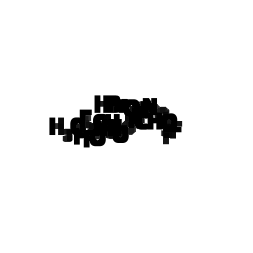 Br.Cc1c(F)cc(C(=O)N(C)c2ccc(Oc3ccc4c(c3)cc(C(=O)N3CCN(Cc5ccc(OCC(F)F)cc5)CC3)n4C)nc2)c(F)c1F